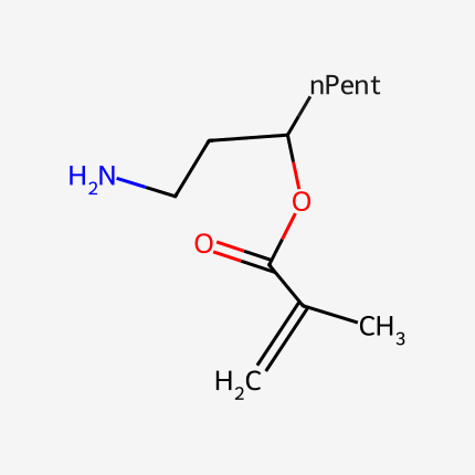 C=C(C)C(=O)OC(CCN)CCCCC